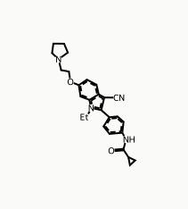 CCn1c(-c2ccc(NC(=O)C3CC3)cc2)c(C#N)c2ccc(OCCN3CCCC3)cc21